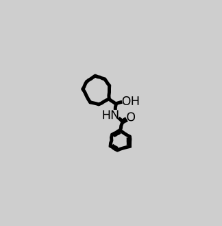 O=C(NC(O)C1CCCCCCC1)c1ccccc1